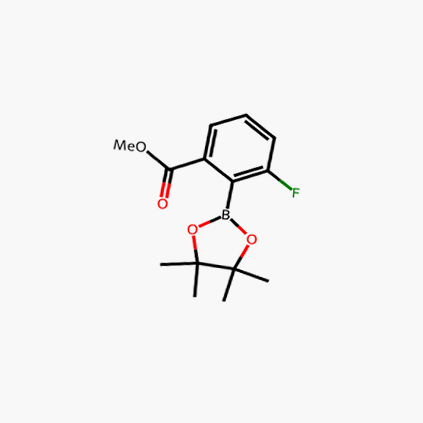 COC(=O)c1cccc(F)c1B1OC(C)(C)C(C)(C)O1